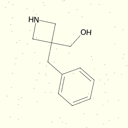 OCC1(Cc2ccccc2)CNC1